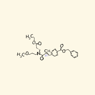 CCOC(=O)CCN(CCCOC)C(=O)/C(C)=C/c1ccc(C(=O)OCc2ccccc2)cc1